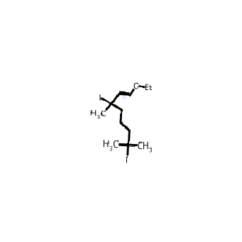 CCO/C=C/C(C)(I)CCCC(C)(C)I